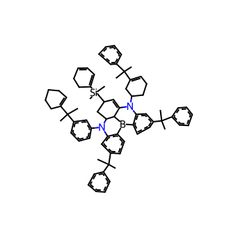 CC(C)(C1=CCCCC1)c1cccc(N2c3cc(C(C)(C)c4ccccc4)ccc3B3c4ccc(C(C)(C)c5ccccc5)cc4N(C4CCC=C(C(C)(C)c5ccccc5)C4)C4=CC([Si](C)(C)C5=CC=CCC5)CC2C34)c1